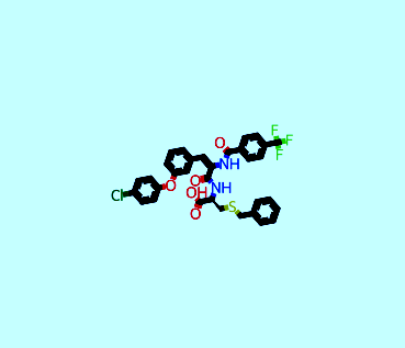 O=C(N[C@@H](CSCc1ccccc1)C(=O)O)/C(=C\c1cccc(Oc2ccc(Cl)cc2)c1)NC(=O)c1ccc(C(F)(F)F)cc1